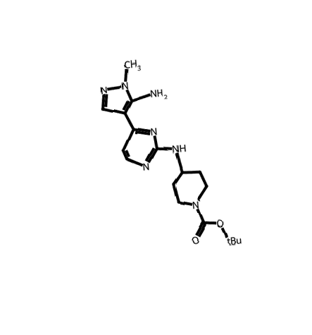 Cn1ncc(-c2ccnc(NC3CCN(C(=O)OC(C)(C)C)CC3)n2)c1N